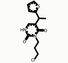 CC(c1cccs1)c1c[nH]c(=O)n(CCCCl)c1=O